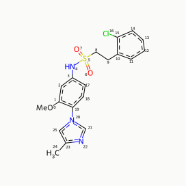 COc1cc(NS(=O)(=O)CCc2ccccc2Cl)ccc1-n1cnc(C)c1